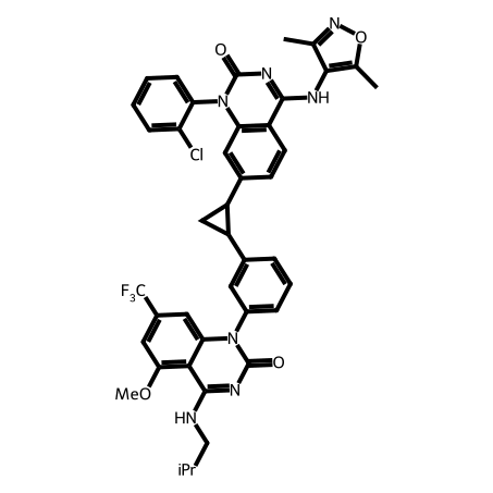 COc1cc(C(F)(F)F)cc2c1c(NCC(C)C)nc(=O)n2-c1cccc(C2CC2c2ccc3c(Nc4c(C)noc4C)nc(=O)n(-c4ccccc4Cl)c3c2)c1